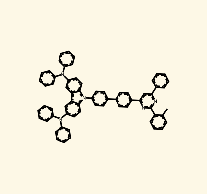 Cc1ccccc1-c1nc(-c2ccccc2)cc(-c2ccc(-c3ccc(-n4c5ccc(N(c6ccccc6)c6ccccc6)cc5c5cc(N(c6ccccc6)c6ccccc6)ccc54)cc3)cc2)n1